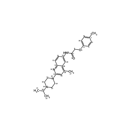 Cc1ccc(OCC(=O)Nc2ccc3nc(N4CCN(C(C)C)CC4)cc(C)c3c2)cc1